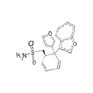 NS(=O)(=O)C[C@@H]1C=CC=CC1(c1ccoc1)c1coc2ccccc12